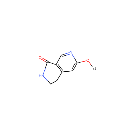 CCOc1cc2c(cn1)C(=O)NCC2